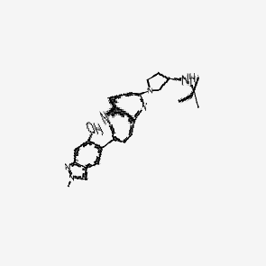 Cn1cc2cc(-c3ccc4nc(N5CC[C@@H](NC(C)(C)C)C5)ccc4n3)c(O)cc2n1